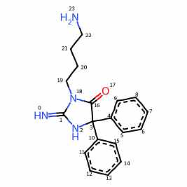 N=C1NC(c2ccccc2)(c2ccccc2)C(=O)N1CCCCN